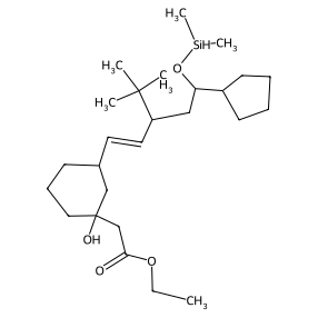 CCOC(=O)CC1(O)CCCC(C=CC(CC(O[SiH](C)C)C2CCCC2)C(C)(C)C)C1